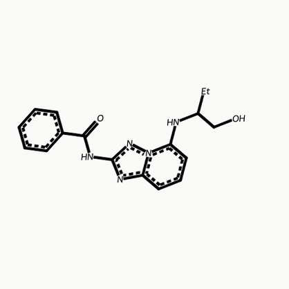 CCC(CO)Nc1cccc2nc(NC(=O)c3ccccc3)nn12